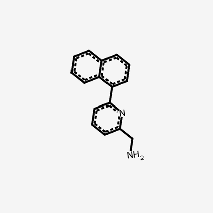 NCc1cccc(-c2cccc3ccccc23)n1